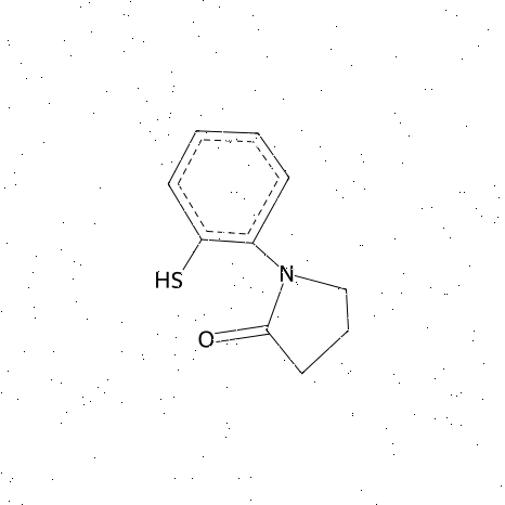 O=C1CCCN1c1ccccc1S